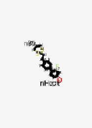 CCCCCCCOc1ccc(-c2ccc(CCC3SCC(CCCC)CS3)cc2)c(F)c1